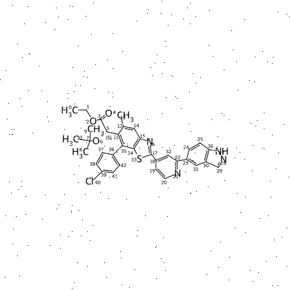 CCOC(=O)[C@@H](OC(C)(C)C)c1c(C)cc2nc(-c3ccnc(-c4ccc5[nH]ncc5c4)c3)sc2c1-c1ccc(Cl)cc1